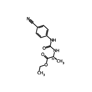 CCOC(=O)[C@H](C)NC(=O)Nc1ccc(C#N)cc1